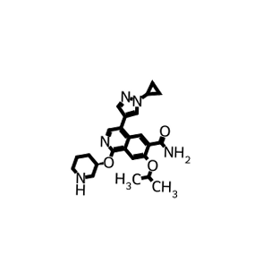 CC(C)Oc1cc2c(O[C@@H]3CCCNC3)ncc(-c3cnn(C4CC4)c3)c2cc1C(N)=O